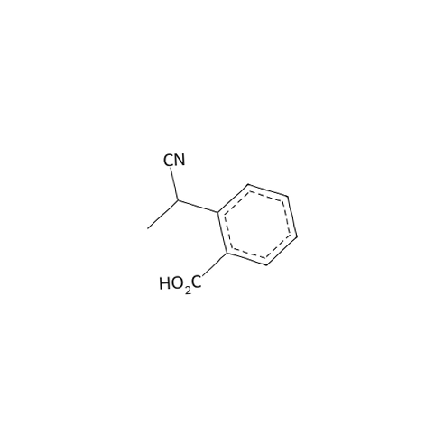 CC(C#N)c1ccccc1C(=O)O